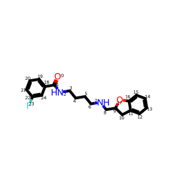 O=C(NCCCCNCC1Cc2ccccc2O1)c1cccc(F)c1